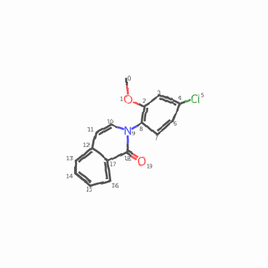 COc1cc(Cl)ccc1-n1ccc2ccccc2c1=O